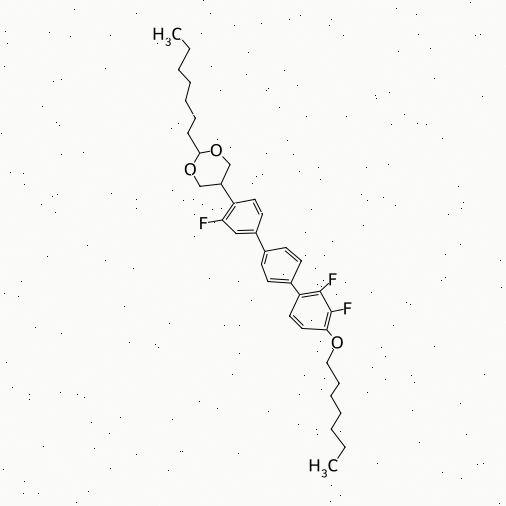 CCCCCCCOc1ccc(-c2ccc(-c3ccc(C4COC(CCCCCCC)OC4)c(F)c3)cc2)c(F)c1F